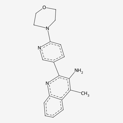 Cc1c(N)c(-c2ccc(N3CCOCC3)nc2)nc2ccccc12